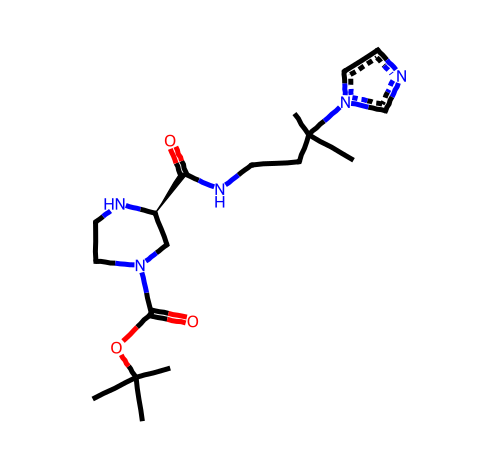 CC(C)(C)OC(=O)N1CCN[C@@H](C(=O)NCCC(C)(C)n2ccnc2)C1